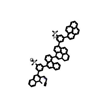 C#C/C=C\C1=C(c2cc(-c3cc4ccccc4c4c(C5=CC6CC=Cc7ccc8c(-c9cc(-c%10ccc%11ccc%12cccc%13ccc%10c%11c%12%13)cc([PH](C)(C)C)c9)ccc5c8c76)cccc34)cc(P(C)(C)=O)c2)C=C2C=CC=CC2C1C